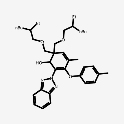 CCCCC(CC)COCC1(COCC(CC)CCCC)C=C(C)C(Oc2ccc(C)cc2)=C(n2nc3ccccc3n2)C1O